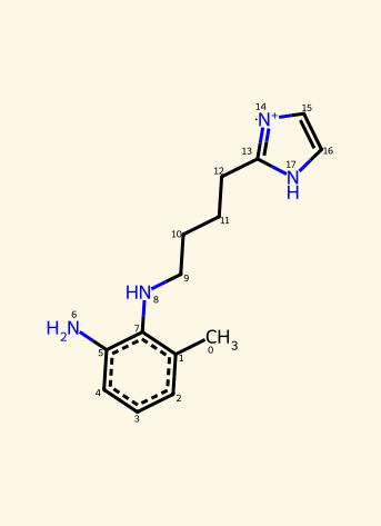 Cc1cccc(N)c1NCCCCC1=[N+]C=CN1